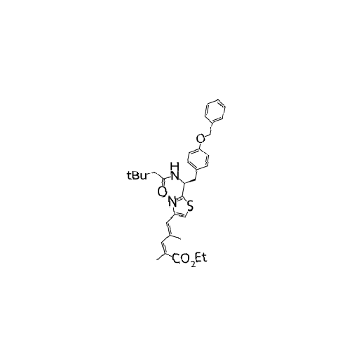 CCOC(=O)/C(C)=C\C(C)=C\c1csc([C@H](Cc2ccc(OCc3ccccc3)cc2)NC(=O)CC(C)(C)C)n1